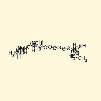 C#CCOC(COCC(=C)CC)(NC(=O)CCOCCOCCOCCOCCOCCOCCNC(=O)CC[C@H](NC(=O)c1ccc(NCc2cnc3nc(N)[nH]c(=O)c3n2)cc1)C(=O)O)OCC#C